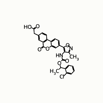 Cc1noc(-c2ccc3c(c2)oc(=O)c2cc(CC(=O)O)ccc23)c1NC(=O)OC(C)c1ccccc1Cl